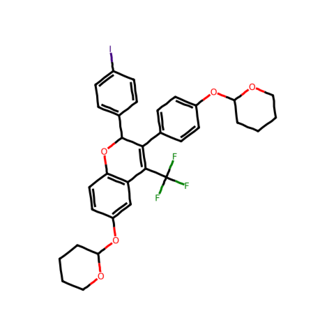 FC(F)(F)C1=C(c2ccc(OC3CCCCO3)cc2)C(c2ccc(I)cc2)Oc2ccc(OC3CCCCO3)cc21